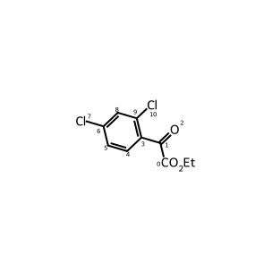 CCOC(=O)C(=O)c1ccc(Cl)cc1Cl